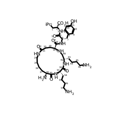 CC(C)C[C@H](NC(=O)[C@H](Cc1ccc(O)cc1)NC(=O)[C@@H]1CCC(=O)NCCCC[C@H](N)C(=O)N[C@@H](CCCCN)C(=O)N[C@@H](CCCCN)CN1)C(=O)O